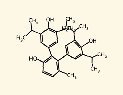 Cc1ccc(O)c(-c2cc(C(C)C)c(O)c(C(C)C)c2)c1-c1cc(C(C)C)c(O)c(C(C)C)c1